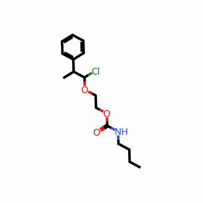 CCCCNC(=O)OCCOC(Cl)C(C)c1ccccc1